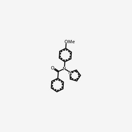 COc1ccc(N(C(=O)c2ccccc2)n2cccc2)cc1